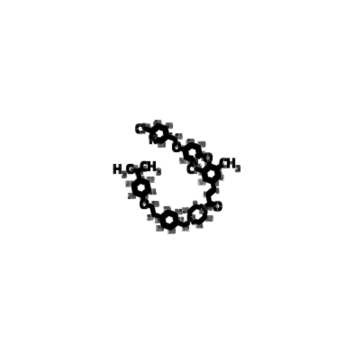 Cc1cc(C=CC(=O)N2CCN(Cc3ccc(CCOc4ccc(C(C)C)cc4)cc3)CC2)cc(Cl)c1Oc1ccc(OCc2ccc(Cl)nc2)cn1